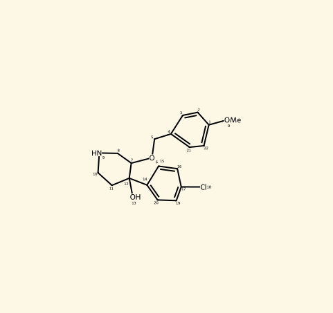 COc1ccc(COC2CNCCC2(O)c2ccc(Cl)cc2)cc1